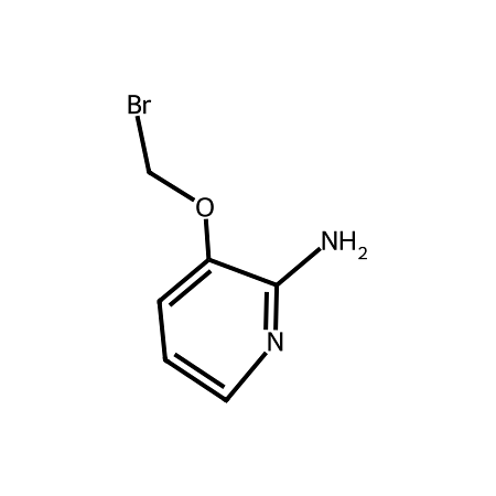 Nc1ncccc1OCBr